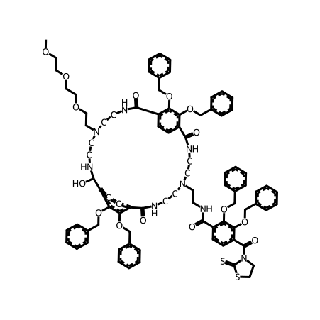 COCCOCCOCCN1CCNC(=O)c2ccc(c(OCc3ccccc3)c2OCc2ccccc2)C(=O)NCCN(CCNC(=O)c2ccc(C(=O)N3CCSC3=S)c(OCc3ccccc3)c2OCc2ccccc2)CCNC(=O)c2ccc(c(OCc3ccccc3)c2OCc2ccccc2)C(O)NCC1